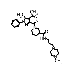 Cc1nnc(N2CCCC(C(=O)NCCCN3CCN(C)CC3)C2)c2nn(-c3ccccc3)c(C)c12